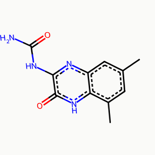 Cc1cc(C)c2[nH]c(=O)c(NC(N)=O)nc2c1